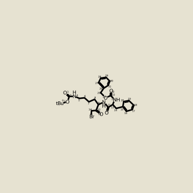 CC(C)(C)OC(=O)NCCCCC(NC(=O)C(Cc1ccccc1)NC(=O)OCc1ccccc1)C(=O)CBr